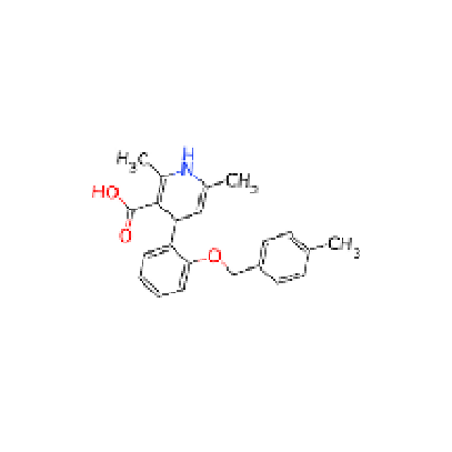 CC1=CC(c2ccccc2OCc2ccc(C)cc2)C(C(=O)O)=C(C)N1